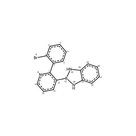 Brc1ccccc1-c1ncccc1B1Nc2ccccc2N1